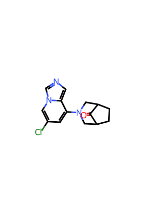 O=C1C2CCC1CN(c1cc(Cl)cn3cncc13)C2